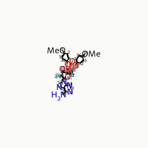 COc1ccc(OP(=O)(OC[C@@]2(C(F)F)O[C@@H](n3cnc4c(N)ncnc43)[C@H](F)[C@H]2O)Oc2ccc(OC)cc2)cc1